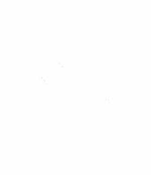 CN1CCN(c2ccccc2C=C2SCCCN(c3ccc(Cl)cc3)C2=O)CC1